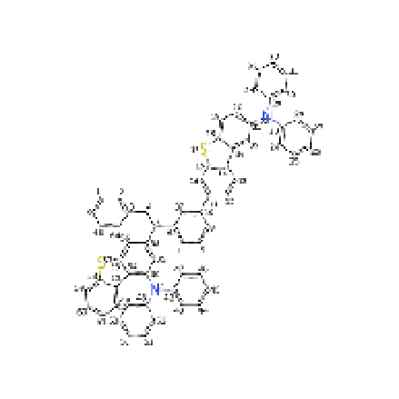 c1ccc(CC(c2cccc(-c3ccc4c(c3)sc3ccc(N(c5ccccc5)c5ccccc5)cc34)c2)c2cc(N(c3ccccc3)c3ccccc3)c3c(c2)sc2ccccc23)cc1